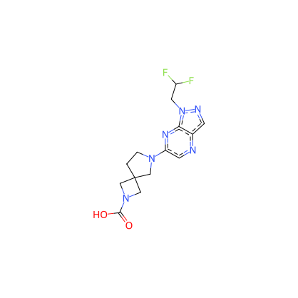 O=C(O)N1CC2(CCN(c3cnc4cnn(CC(F)F)c4n3)C2)C1